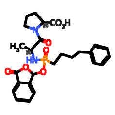 C[C@H](NP(=O)(CCCCc1ccccc1)OC1OC(=O)c2ccccc21)C(=O)N1CCC[C@H]1C(=O)O